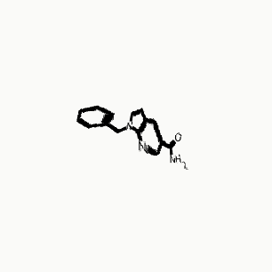 NC(=O)c1cnc2c(ccn2Cc2ccccc2)c1